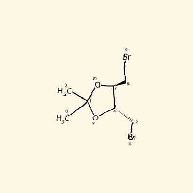 CC1(C)O[C@@H](CBr)[C@H](CBr)O1